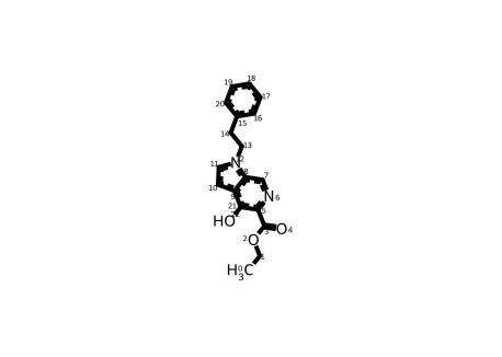 CCOC(=O)c1ncc2c(ccn2CCc2ccccc2)c1O